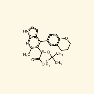 Cc1nc2[nH]ccc2c(-c2ccc3c(c2)CCCO3)c1[C@H](OC(C)(C)C)C(=O)O